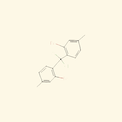 Cc1ccc(C(Cl)(Cl)c2ccc(C)cc2Br)c(Br)c1